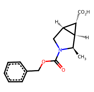 C[C@@H]1[C@H]2[C@@H](CN1C(=O)OCc1ccccc1)[C@@H]2C(=O)O